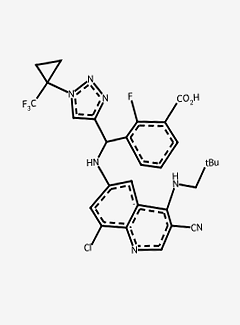 CC(C)(C)CNc1c(C#N)cnc2c(Cl)cc(NC(c3cn(C4(C(F)(F)F)CC4)nn3)c3cccc(C(=O)O)c3F)cc12